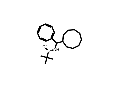 CC(C)(C)[S+]([O-])NC(C1=C/C=C\C=C/C=C\1)C1CCCCCCCC1